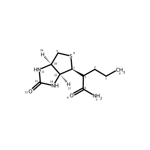 CCCC(C(N)=O)[C@@H]1SC[C@@H]2NC(=O)N[C@@H]21